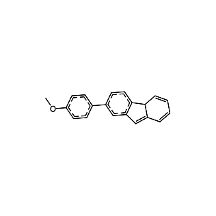 COc1ccc(-c2ccc3c(c2)C=C2C=CC=CC23)cc1